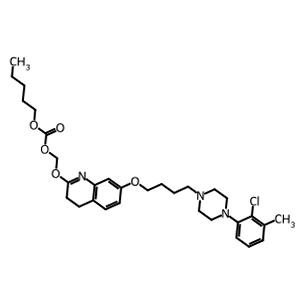 CCCCCOC(=O)OCOC1=Nc2cc(OCCCCN3CCN(c4cccc(C)c4Cl)CC3)ccc2CC1